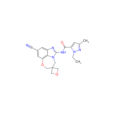 CCn1nc(C)cc1C(=O)Nc1nc2cc(C#N)cc3c2n1CC1(COC1)CO3